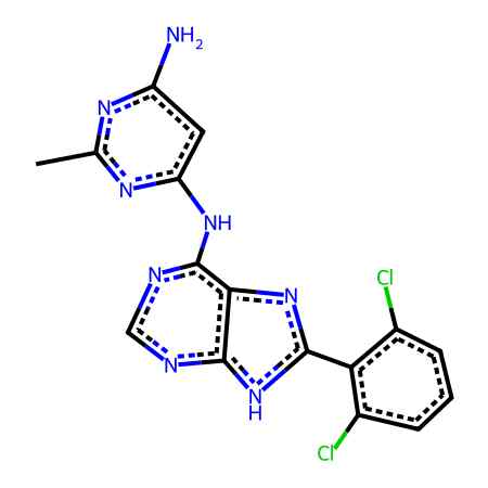 Cc1nc(N)cc(Nc2ncnc3[nH]c(-c4c(Cl)cccc4Cl)nc23)n1